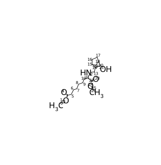 CCOC(=O)CCCCCCC(NCC1C2CCC(C2)[C@@H]1O)C(=O)OCC